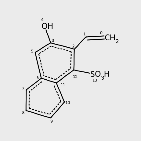 C=Cc1c(O)cc2ccccc2c1S(=O)(=O)O